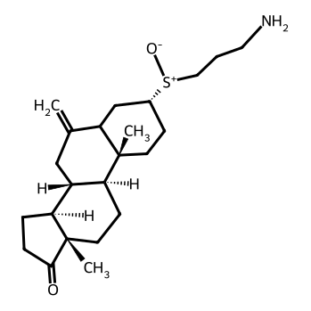 C=C1C[C@@H]2[C@H](CC[C@]3(C)C(=O)CC[C@@H]23)[C@@]2(C)CC[C@@H]([S+]([O-])CCCN)CC12